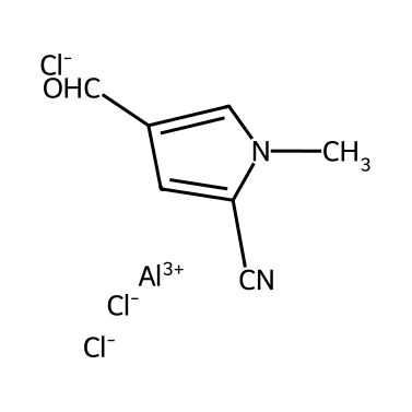 Cn1cc(C=O)cc1C#N.[Al+3].[Cl-].[Cl-].[Cl-]